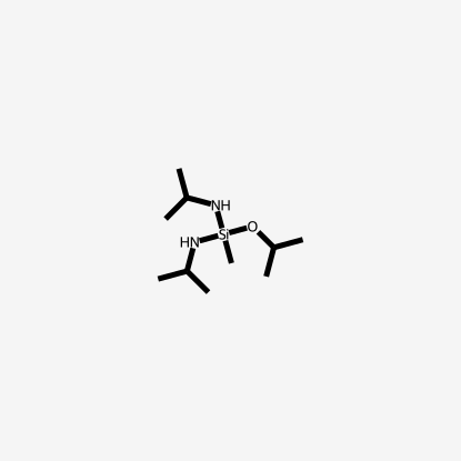 CC(C)N[Si](C)(NC(C)C)OC(C)C